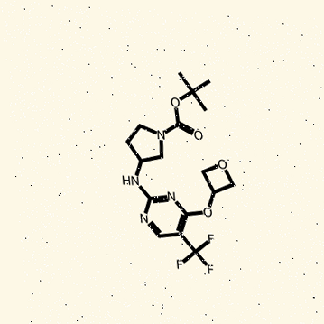 CC(C)(C)OC(=O)N1CCC(Nc2ncc(C(F)(F)F)c(OC3COC3)n2)C1